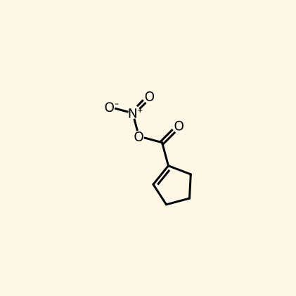 O=C(O[N+](=O)[O-])C1=CCCC1